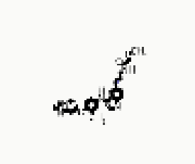 COCC(=O)NC/C=C/c1ccc2ncnc(Nc3ccc(Oc4cc5nncn5cn4)c(C)c3)c2c1